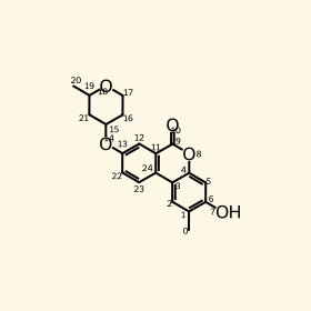 Cc1cc2c(cc1O)oc(=O)c1cc(OC3CCOC(C)C3)ccc12